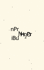 CCCN(CCC)C(C)CC.O